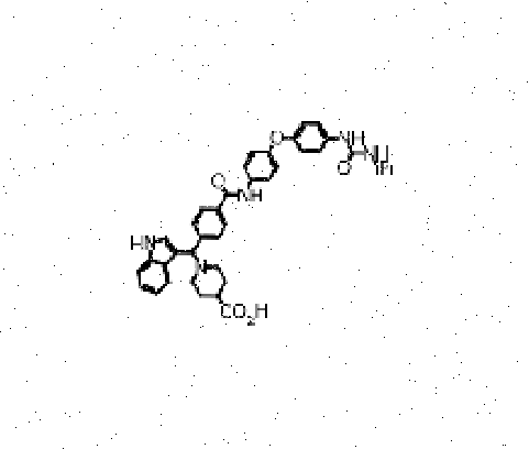 CC(C)NC(=O)Nc1ccc(Oc2ccc(NC(=O)c3ccc(C(c4c[nH]c5ccccc45)N4CCC(C(=O)O)CC4)cc3)cc2)cc1